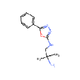 CC(C)(N)CNc1nnc(-c2ccccc2)o1